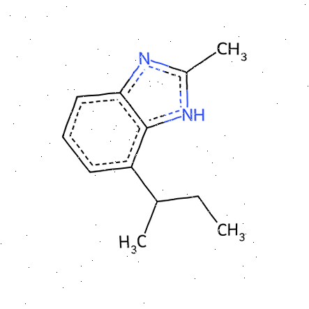 CCC(C)c1cccc2nc(C)[nH]c12